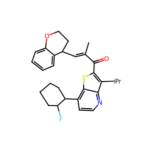 C/C(=C\C1CCOc2ccccc21)C(=O)c1sc2c(C3CCCCC3F)ccnc2c1C(C)C